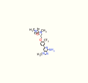 CN(CCCOc1ccc(-c2cc3c(ncn3C)c(N)n2)cc1C(F)(F)F)C(=O)C1(N(C)C)CC1